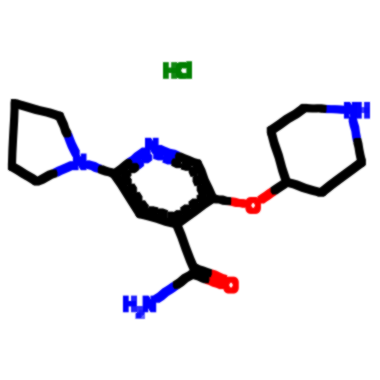 Cl.NC(=O)c1cc(N2CCCC2)ncc1OC1CCNCC1